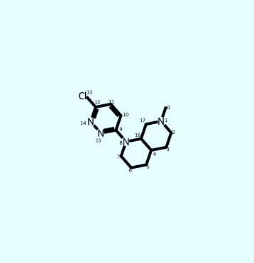 CN1CCC2CCCN(c3ccc(Cl)nn3)C2C1